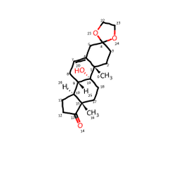 C[C@]12CCC3(CC1=CC[C@H]1[C@@H]4CCC(=O)[C@@]4(C)CC[C@@]12O)OCCO3